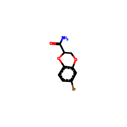 NC(=O)C1COc2cc(Br)ccc2O1